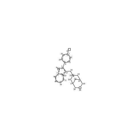 Clc1ccc(-c2nc3ccccn3c2CN2CC3COCC(C3)C2)cc1